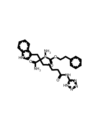 NC(=O)C(CC(=O)CCC(=O)Nc1nnn[nH]1)(Cc1c[nH]c2ccccc12)N(N)C(=O)OCCc1ccccc1